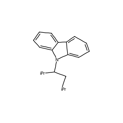 CC(C)CC(C(C)C)n1c2ccccc2c2ccccc21